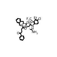 CCc1c(Cl)ccc(NC(=O)[C@H](CCN)NC(=O)[C@@H]2Cc3ccccc3CN2C(=O)CCC(=O)c2ccccc2)c1OC(F)(F)F